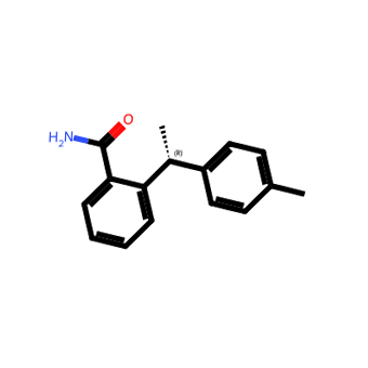 Cc1ccc([C@@H](C)c2ccccc2C(N)=O)cc1